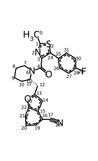 Cc1nc(C(=O)N2CCCC[C@H]2Cc2cc3c(C#N)cccc3o2)c(-c2ccc(F)cc2)s1